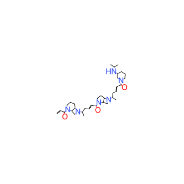 C=CC(=O)N1CCCC2C1CN2C(C)C/C=C/C(=O)N1CCC2C1CN2C(C)C/C=C/C(=O)N1CCCC(NC(C)C)C1